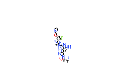 CC(C)C(=O)Nc1cncc(-c2ccc3[nH]nc(-c4nc5c(-c6cc(F)cc(OCCN7CCCC7)c6)nccc5[nH]4)c3c2)c1